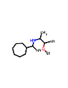 CCCC(NC(C)C(CCC)OCC)C1CCCCCC1